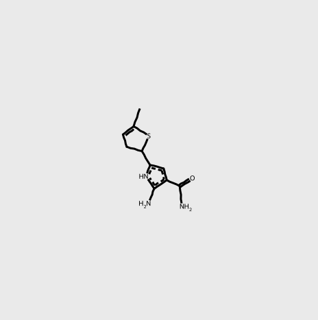 CC1=CCC(c2cc(C(N)=O)c(N)[nH]2)S1